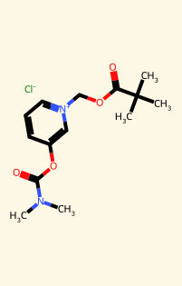 CN(C)C(=O)Oc1ccc[n+](COC(=O)C(C)(C)C)c1.[Cl-]